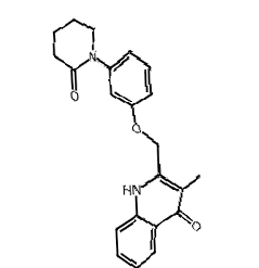 Cc1c(COc2cccc(N3CCCCC3=O)c2)[nH]c2ccccc2c1=O